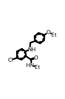 CCNC(=O)c1cc(Cl)ccc1NCc1ccc(OCC)cc1